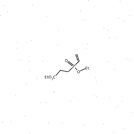 C=CP(=O)(CCC(=O)OCC)OCC